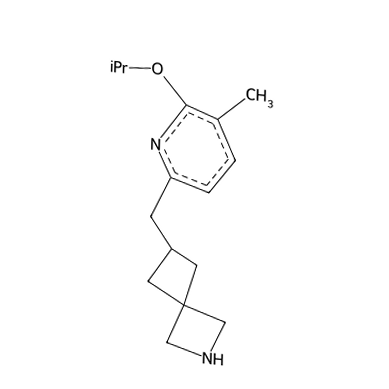 Cc1ccc(CC2CC3(CNC3)C2)nc1OC(C)C